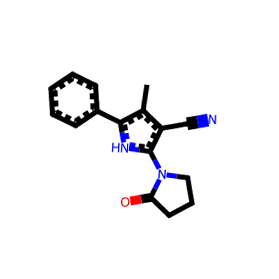 Cc1c(-c2ccccc2)[nH]c(N2CCCC2=O)c1C#N